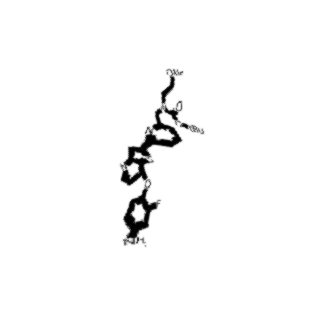 COCCN(Cc1cccc(-c2cc3nccc(Oc4ccc(N)cc4F)c3s2)n1)C(=O)OC(C)(C)C